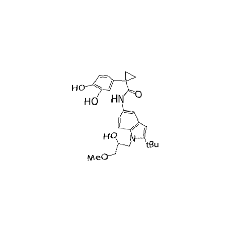 COCC(O)Cn1c(C(C)(C)C)cc2cc(NC(=O)C3(c4ccc(O)c(O)c4)CC3)ccc21